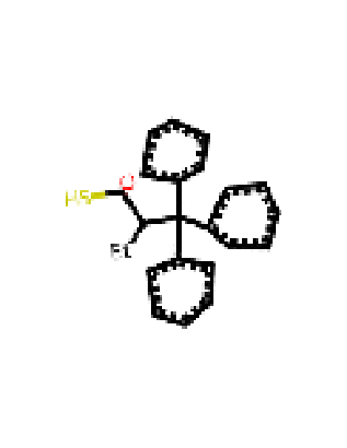 CCC(C(=O)S)C(c1ccccc1)(c1ccccc1)c1ccccc1